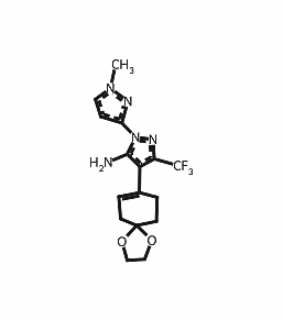 Cn1ccc(-n2nc(C(F)(F)F)c(C3=CCC4(CC3)OCCO4)c2N)n1